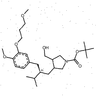 COCCCOc1cc(C[C@@H](CC2CN(C(=O)OC(C)(C)C)CC2CO)C(C)C)ccc1OC